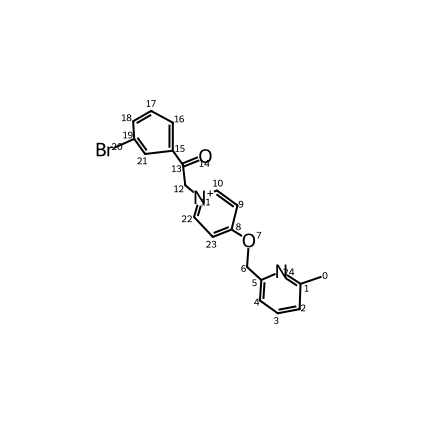 Cc1cccc(COc2cc[n+](CC(=O)c3cccc(Br)c3)cc2)n1